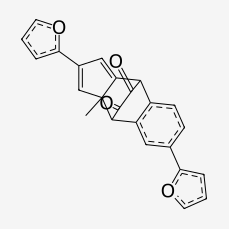 CC12C=C(c3ccco3)C=C1C1C(=O)C(=O)C2c2cc(-c3ccco3)ccc21